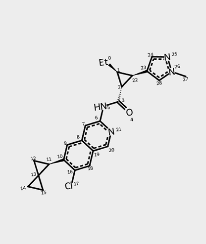 CC[C@@H]1[C@@H](C(=O)Nc2cc3cc([C@@H]4CC45CC5)c(Cl)cc3cn2)[C@@H]1c1cnn(C)c1